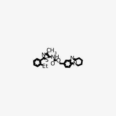 CCc1ccccc1-c1nc(C)c(NC(=O)OCc2ccc3c(c2)nc2n3CCCC2)s1